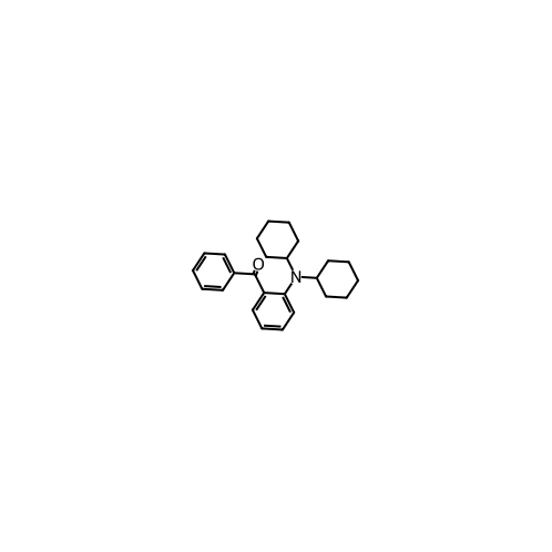 O=C(c1ccccc1)c1ccccc1N(C1CCCCC1)C1CCCCC1